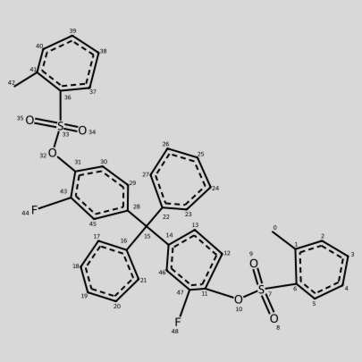 Cc1ccccc1S(=O)(=O)Oc1ccc(C(c2ccccc2)(c2ccccc2)c2ccc(OS(=O)(=O)c3ccccc3C)c(F)c2)cc1F